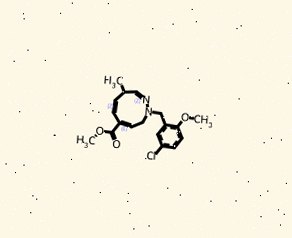 COC(=O)C1=C/CN(Cc2cc(Cl)ccc2OC)/N=C\C(C)/C=C\1